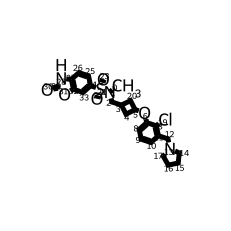 CN(CC1CC(Oc2cccc(CN3CCCC3)c2Cl)C1)S(=O)(=O)c1ccc2[nH]c(=O)oc2c1